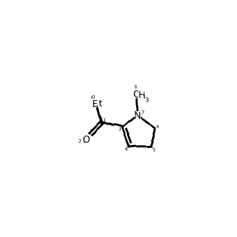 CCC(=O)C1=CCCN1C